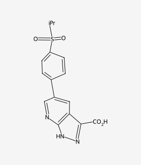 CC(C)S(=O)(=O)c1ccc(-c2cnc3[nH]nc(C(=O)O)c3c2)cc1